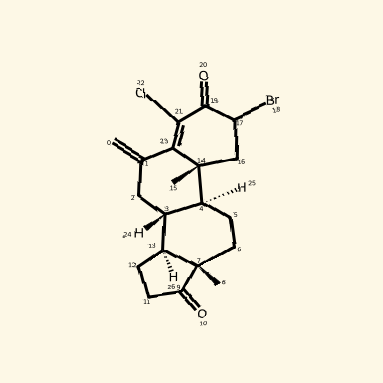 C=C1C[C@@H]2[C@H](CC[C@]3(C)C(=O)CC[C@@H]23)[C@@]2(C)CC(Br)C(=O)C(Cl)=C12